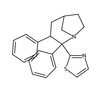 c1ccc([C]2CC3CCN(C3)C2(c2ccccc2)c2nccs2)cc1